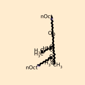 CCCCCCCC/C=C/CCCCCCCC(=O)OCCCCCCC(CCCCCC(CCCN(C)C)OC(=O)CCCCCCC/C=C/CCCCCCCC)OC(=O)NCCCN(C)C